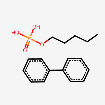 CCCCCOP(=O)(O)O.c1ccc(-c2ccccc2)cc1